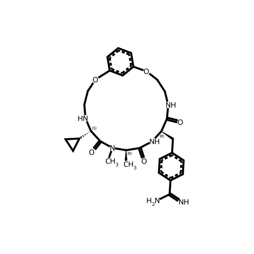 C[C@@H]1C(=O)N[C@H](Cc2ccc(C(=N)N)cc2)C(=O)NCCOc2cccc(c2)OCCN[C@@H](C2CC2)C(=O)N1C